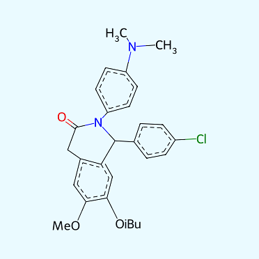 COc1cc2c(cc1OCC(C)C)C(c1ccc(Cl)cc1)N(c1ccc(N(C)C)cc1)C(=O)C2